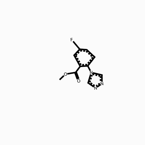 COC(=O)c1cc(F)ccc1-n1cnnc1